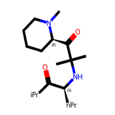 CCC[C@H](NC(C)(C)C(=O)[C@H]1CCCCN1C)C(=O)C(C)C